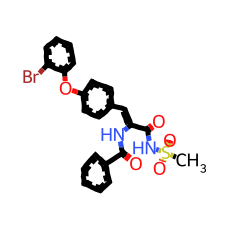 CS(=O)(=O)NC(=O)C(=Cc1ccc(Oc2ccccc2Br)cc1)NC(=O)c1ccccc1